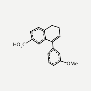 COc1cccc(C2=CCCc3ccc(C(=O)O)cc32)c1